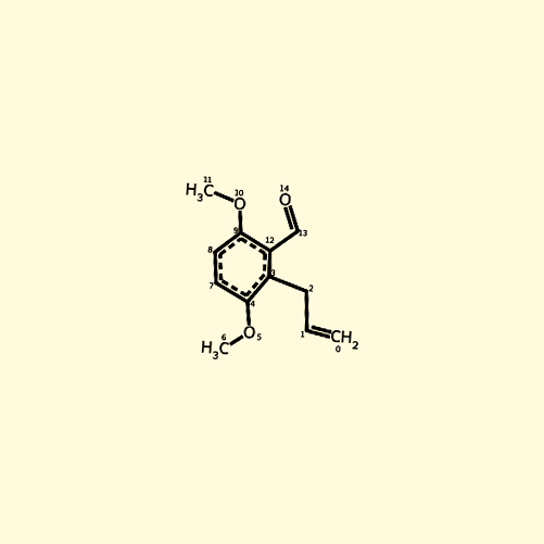 C=CCc1c(OC)ccc(OC)c1C=O